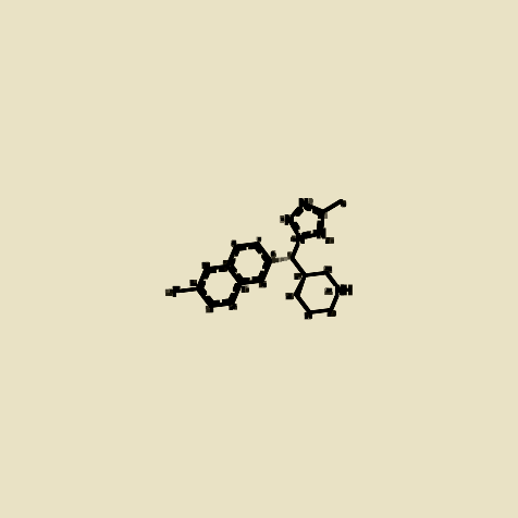 Cc1nnn([C@@H](c2ccc3cc(F)ccc3c2)[C@@H]2CCCNC2)n1